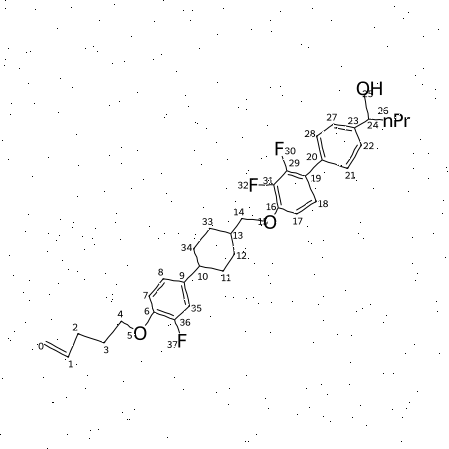 C=CCCCOc1ccc(C2CCC(COc3ccc(-c4ccc(C(O)CCC)cc4)c(F)c3F)CC2)cc1F